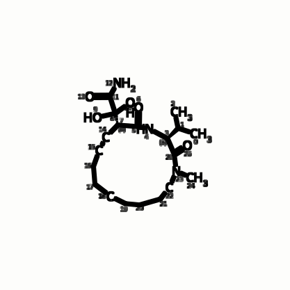 CC(C)[C@@H]1NC(=O)[C@@H](C(O)(O)C(N)=O)CCCCCCCCCN(C)C1=O